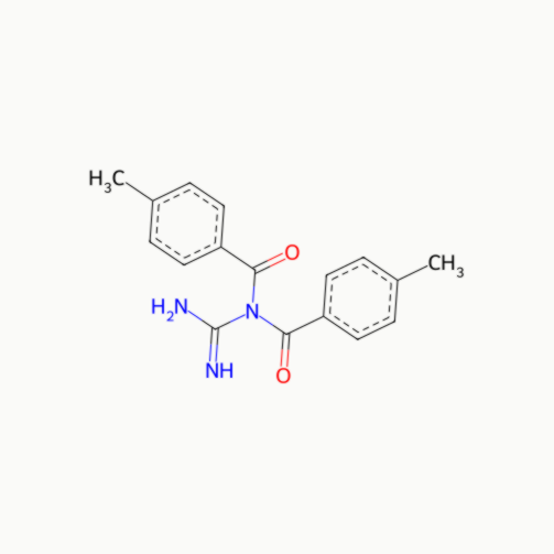 Cc1ccc(C(=O)N(C(=N)N)C(=O)c2ccc(C)cc2)cc1